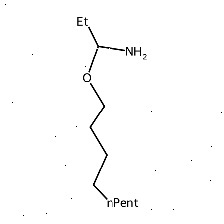 CCCCCCCCCOC(N)CC